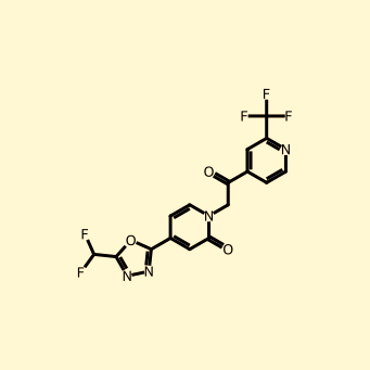 O=C(Cn1ccc(-c2nnc(C(F)F)o2)cc1=O)c1ccnc(C(F)(F)F)c1